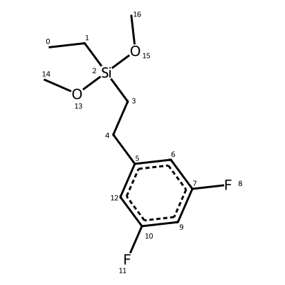 CC[Si](CCc1cc(F)cc(F)c1)(OC)OC